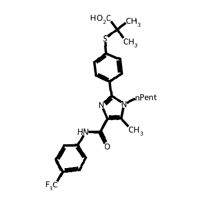 CCCCCn1c(-c2ccc(SC(C)(C)C(=O)O)cc2)nc(C(=O)Nc2ccc(C(F)(F)F)cc2)c1C